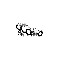 Cn1nc(C2=CC=C(C(=O)Nc3ccccn3)CC2)c2c(N)nccc21